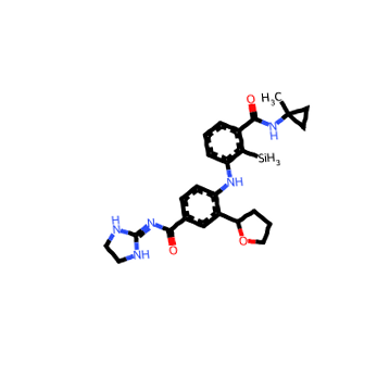 CC1(NC(=O)c2cccc(Nc3ccc(C(=O)N=C4NCCN4)cc3C3CCCO3)c2[SiH3])CC1